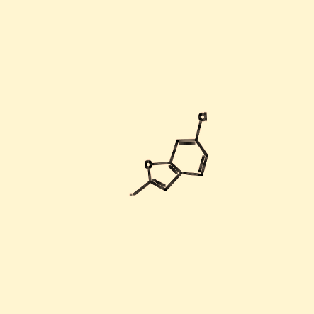 [CH2]c1cc2ccc(Cl)cc2o1